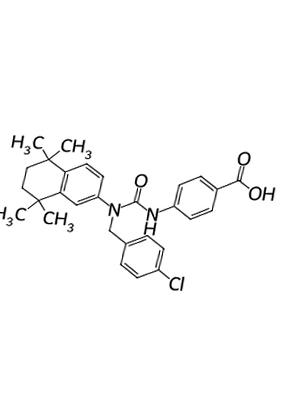 CC1(C)CCC(C)(C)c2cc(N(Cc3ccc(Cl)cc3)C(=O)Nc3ccc(C(=O)O)cc3)ccc21